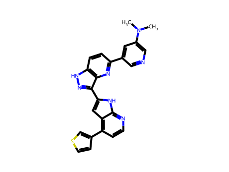 CN(C)c1cncc(-c2ccc3[nH]nc(-c4cc5c(-c6ccsc6)ccnc5[nH]4)c3n2)c1